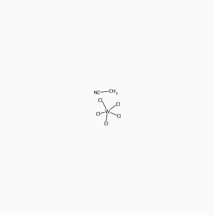 CC#N.[Cl][W]([Cl])([Cl])([Cl])[Cl]